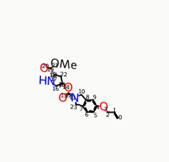 C=CCOc1ccc2c(c1)CN(C(=O)O[C@H]1CN[C@H](C(=O)OC)C1)C2